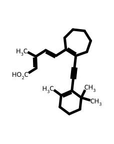 CC(C=CC1=C(C#CC2=C(C)CCCC2(C)C)CCCCC1)=CC(=O)O